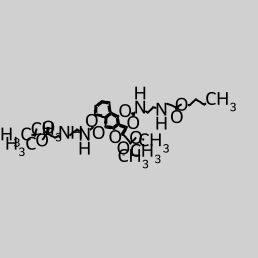 CCCCOC(=O)CNCCNC(=O)Oc1c2ccccc2c(OC(=O)NCCNCC(=O)OC(C)(C)C)c2oc(C(C)(OC)OC)cc12